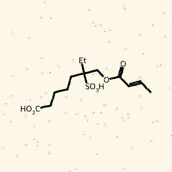 [CH2]CC(CCCCC(=O)O)(COC(=O)C=CC)S(=O)(=O)O